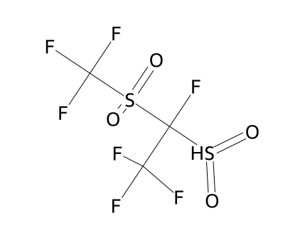 O=[SH](=O)C(F)(C(F)(F)F)S(=O)(=O)C(F)(F)F